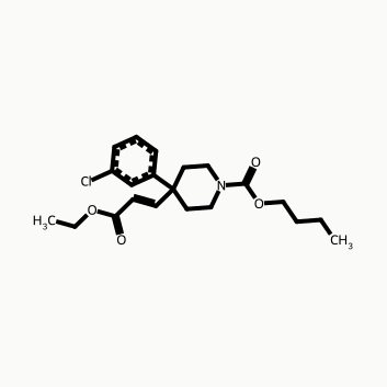 CCCCOC(=O)N1CCC(/C=C/C(=O)OCC)(c2cccc(Cl)c2)CC1